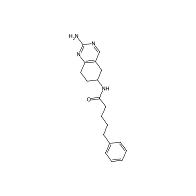 Nc1ncc2c(n1)CCC(NC(=O)CCCCc1ccccc1)C2